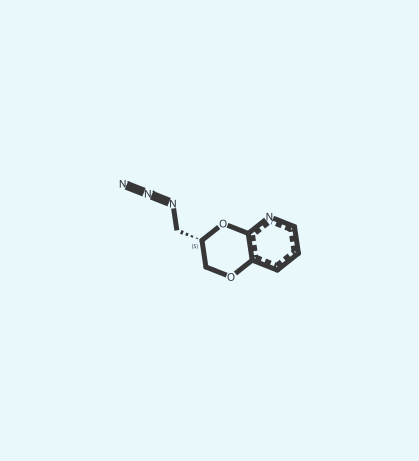 [N-]=[N+]=NC[C@H]1COc2cccnc2O1